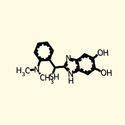 CN(C)c1ccccc1C(S)c1nc2cc(O)c(O)cc2[nH]1